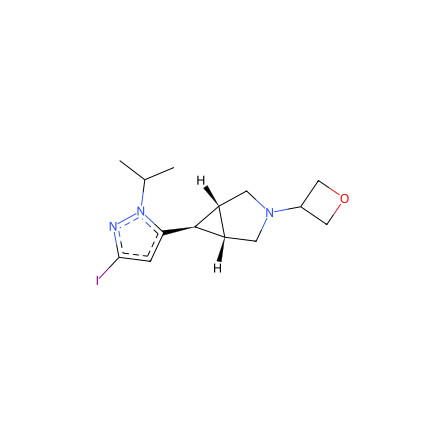 CC(C)n1nc(I)cc1[C@H]1[C@@H]2CN(C3COC3)C[C@@H]21